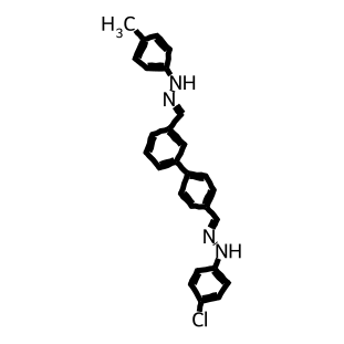 Cc1ccc(N/N=C/c2cccc(-c3ccc(/C=N/Nc4ccc(Cl)cc4)cc3)c2)cc1